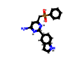 Nc1cc(CS(=O)(=O)c2ccccc2)nc(-c2ccc3[nH]ccc3c2)n1